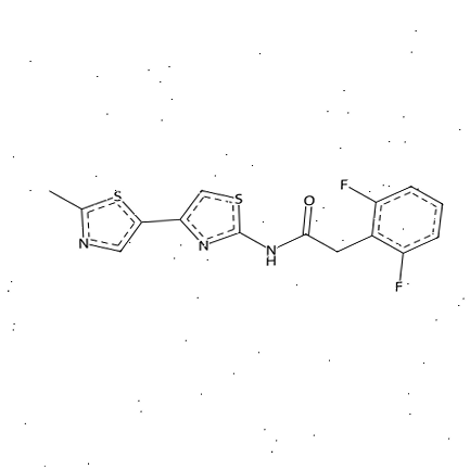 Cc1ncc(-c2csc(NC(=O)Cc3c(F)cccc3F)n2)s1